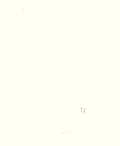 Cc1cc(C2CCCC2)c(C)cc1-c1cccc[n+]1C